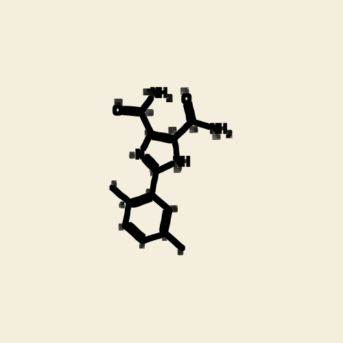 Cc1ccc(C)c(-c2nc(C(N)=O)c(C(N)=O)[nH]2)c1